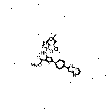 CCOP(=O)(Nc1cc(-c2ccc(-c3cc4ncccn4n3)cc2)sc1C(=O)OC)c1ccc(C)cc1Cl